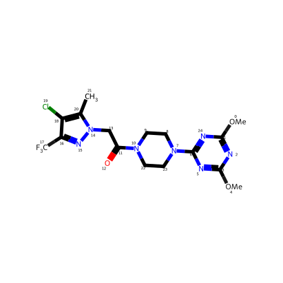 COc1nc(OC)nc(N2CCN(C(=O)Cn3nc(C(F)(F)F)c(Cl)c3C)CC2)n1